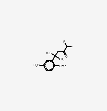 COc1ccc(C)cc1C(C)(C)CC(=O)C(F)F